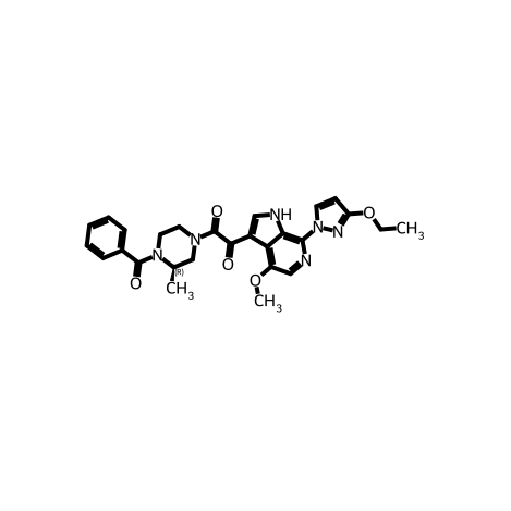 CCOc1ccn(-c2ncc(OC)c3c(C(=O)C(=O)N4CCN(C(=O)c5ccccc5)[C@H](C)C4)c[nH]c23)n1